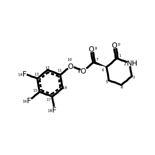 O=C1NCCC[C@H]1C(=O)OOc1cc(F)c(F)c(F)c1